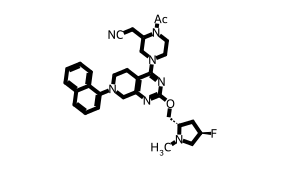 CC(=O)N1CCN(c2nc(OC[C@@H]3C[C@@H](F)CN3C)nc3c2CCN(c2cccc4ccccc24)C3)CC1CC#N